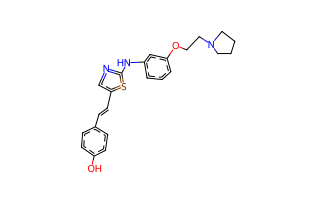 Oc1ccc(C=Cc2cnc(Nc3cccc(OCCN4CCCC4)c3)s2)cc1